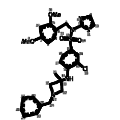 COc1ccc(CN(c2nccs2)S(=O)(=O)c2ccc(NC3(C)CN(Cc4ccccc4)C3)c(Cl)c2)c(OC)c1